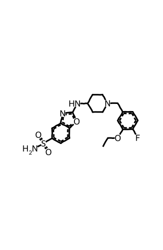 CCOc1cc(CN2CCC(Nc3nc4cc(S(N)(=O)=O)ccc4o3)CC2)ccc1F